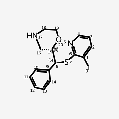 Ic1cccnc1S[C@@H](c1ccccc1)[C@@H]1CNCCO1